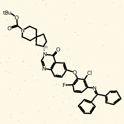 CC(C)(C)OC(=O)N1CCC2(CC[C@H](n3cnc4ccc(Oc5c(F)ccc(N=C(c6ccccc6)c6ccccc6)c5Cl)cc4c3=O)C2)CC1